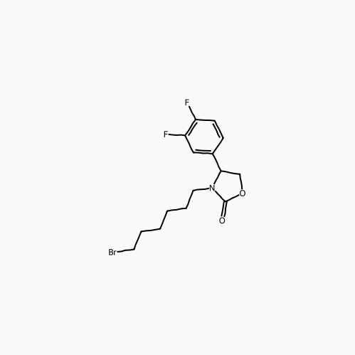 O=C1OCC(c2ccc(F)c(F)c2)N1CCCCCCBr